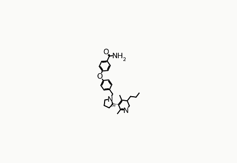 CCCC1CN=C(C)C([C@@H]2CCCN2Cc2ccc(Oc3ccc(C(N)=O)cc3)cc2)=C1C